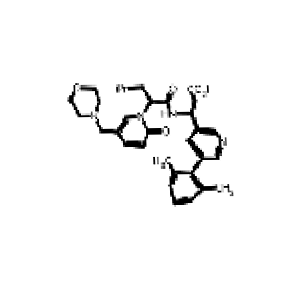 Cc1cccc(C)c1-c1cncc(C(CC(=O)O)NC(=O)C(CC(C)C)n2cc(CN3CCOCC3)ccc2=O)c1